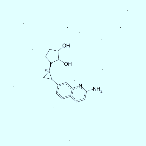 Nc1ccc2ccc(C3C[C@H]3C3CCC(O)C3O)cc2n1